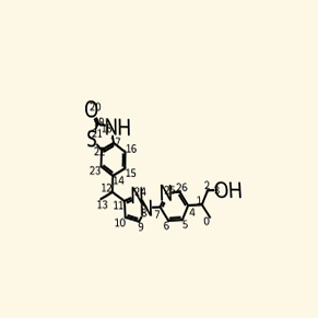 CC(CO)c1ccc(-n2ccc(C(C)c3ccc4[nH]c(=O)sc4c3)n2)nc1